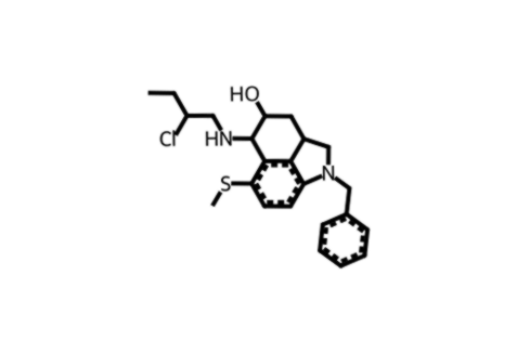 CCC(Cl)CNC1c2c(SC)ccc3c2C(CC1O)CN3Cc1ccccc1